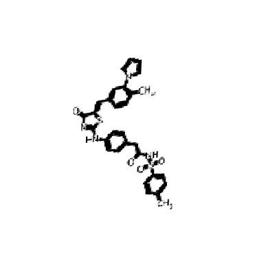 Cc1ccc(S(=O)(=O)NC(=O)Cc2ccc(NC3=NC(=O)C(=Cc4ccc(C)c(-n5cccc5)c4)S3)cc2)cc1